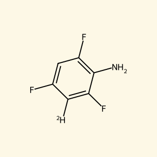 [2H]c1c(F)cc(F)c(N)c1F